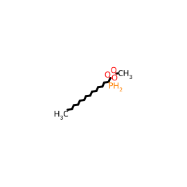 CCCCCCCCCCCCCCC(P)C(=O)OC(C)=O